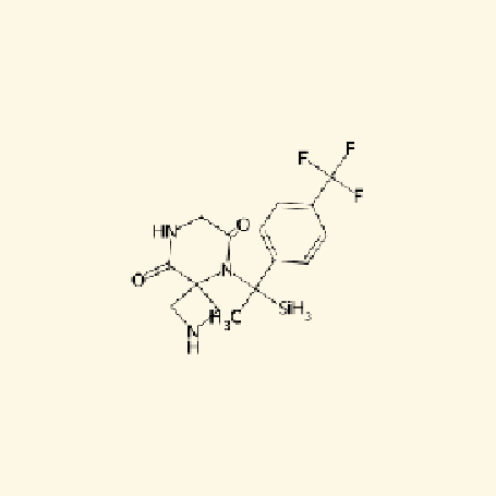 CC([SiH3])(c1ccc(C(F)(F)F)cc1)N1C(=O)CNC(=O)C12CNC2